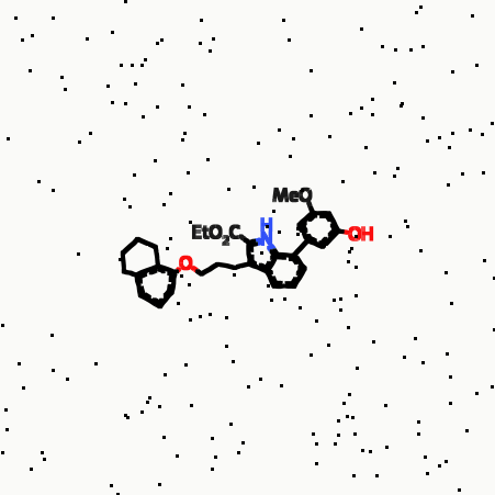 CCOC(=O)c1[nH]c2c(-c3cc(O)cc(OC)c3)cccc2c1CCCOc1cccc2c1CCCC2